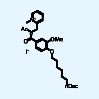 CCCCCCCCCCCCCCCCOc1ccc(C(=O)N(Cc2cccc[n+]2C)C(C)=O)cc1OC.[I-]